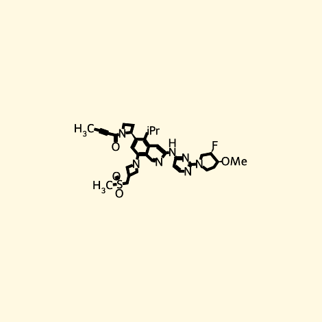 CC#CC(=O)N1CC[C@H]1c1cc(N2CC(CS(C)(=O)=O)C2)c2cnc(Nc3ccnc(N4CC[C@@H](OC)[C@@H](F)C4)n3)cc2c1C(C)C